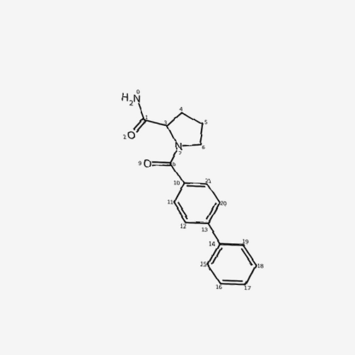 NC(=O)C1CCCN1C(=O)c1ccc(-c2ccccc2)cc1